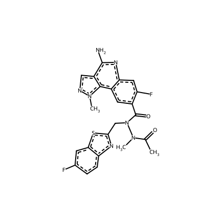 CC(=O)N(C)N(Cc1nc2ccc(F)cc2s1)C(=O)c1cc2c(cc1F)nc(N)c1cnn(C)c12